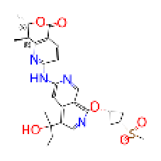 CCC(C)(O)c1cnc(O[C@H]2C[C@@H](S(C)(=O)=O)C2)c2cnc(Nc3ccc4c(n3)[C@@H](C)[C@H](C)OC4=O)cc12